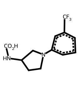 O=C(O)NC1CCN(c2cccc(C(F)(F)F)c2)C1